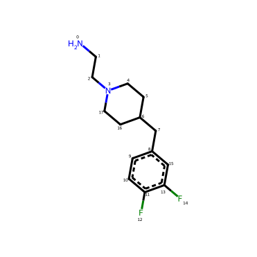 NCCN1CCC(Cc2ccc(F)c(F)c2)CC1